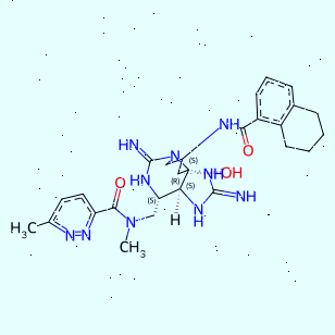 Cc1ccc(C(=O)N(C)C[C@@H]2NC(=N)N3CC(NC(=O)c4cccc5c4CCCC5)[C@@H](O)[C@@]34NC(=N)N[C@@H]24)nn1